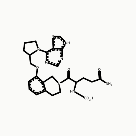 NC(=O)CCC(NC(=O)O)C(=O)N1CCc2cccc(OCC3CCCN3c3ncnc4[nH]cnc34)c2C1